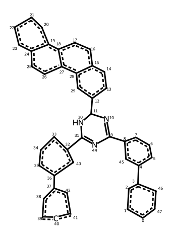 c1ccc(-c2cccc(C3=NC(c4ccc5ccc6c7ccccc7ccc6c5c4)NC(c4cccc(-c5ccccc5)c4)=N3)c2)cc1